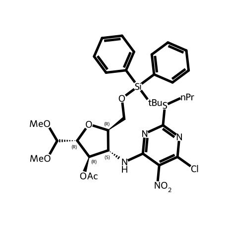 CCCSc1nc(Cl)c([N+](=O)[O-])c(N[C@@H]2[C@@H](OC(C)=O)[C@H](C(OC)OC)O[C@H]2CO[Si](c2ccccc2)(c2ccccc2)C(C)(C)C)n1